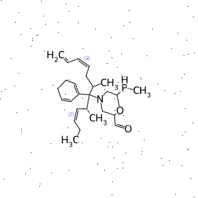 C=C/C=C\CC(C)C(C1=CCCC=C1)(C(C)/C=C\CC)N1CC(C=O)OC(PC)C1